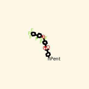 CCCCCC1CCC(C2COC(c3ccc(C(F)(F)Oc4ccc(-c5cc(F)c(F)c(F)c5)c(F)c4)c(F)c3)OC2)CC1